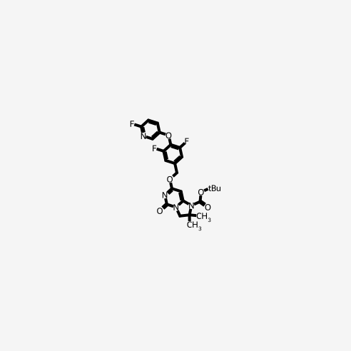 CC(C)(C)OC(=O)N1c2cc(OCc3cc(F)c(Oc4ccc(F)nc4)c(F)c3)nc(=O)n2CC1(C)C